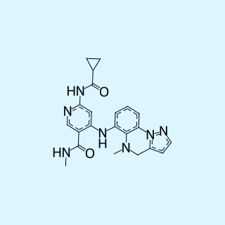 CNC(=O)c1cnc(NC(=O)C2CC2)cc1Nc1cccc2c1N(C)Cc1ccnn1-2